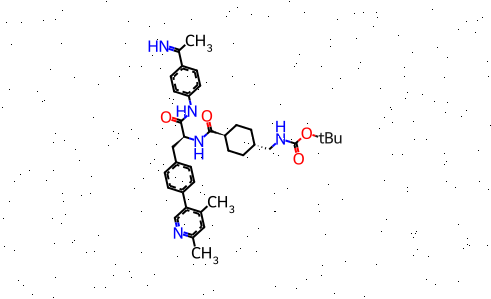 CC(=N)c1ccc(NC(=O)[C@H](Cc2ccc(-c3cnc(C)cc3C)cc2)NC(=O)[C@H]2CC[C@H](CNC(=O)OC(C)(C)C)CC2)cc1